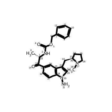 C[C@H](NC(=O)OCc1ccccc1)C(=O)c1ccc2c(c1)c(C[C@H]1CCCN1C)cn2N